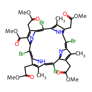 COC(=O)CC1=C(C)c2nc1c(Br)c1[nH]c(c(Br)c3nc(c(Br)c4[nH]c(c2Br)c(CC(=O)OC)c4C)C(CC(=O)OC)=C3C(=O)OC)c(CC(=O)OC)c1C